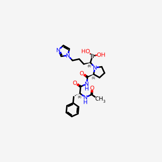 CC(=O)N[C@H](Cc1ccccc1)C(=O)NC(=O)[C@@H]1CCCN1[C@@H](CCCn1ccnc1)B(O)O